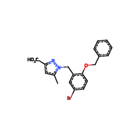 Cc1cc(C(=O)O)nn1Cc1cc(Br)ccc1OCc1ccccc1